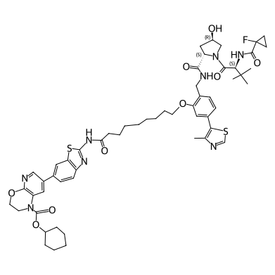 Cc1ncsc1-c1ccc(CNC(=O)[C@@H]2C[C@@H](O)CN2C(=O)[C@@H](NC(=O)C2(F)CC2)C(C)(C)C)c(OCCCCCCCCC(=O)Nc2nc3ccc(-c4cnc5c(c4)N(C(=O)OC4CCCCC4)CCO5)cc3s2)c1